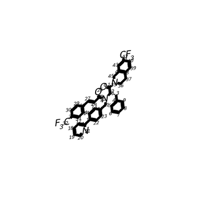 O=C([C@H](Cc1ccccc1)N(Cc1ccc(-c2ccccn2)cc1)C(=O)C=Cc1ccc(C(F)(F)F)cc1)N1CCc2ccc(C(F)(F)F)cc2C1